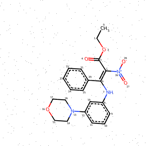 CCOC(=O)C(=C(Nc1cccc(N2CCOCC2)c1)c1ccccc1)[N+](=O)[O-]